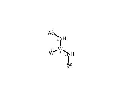 CC(=O)[NH][W]([W])[NH]C(C)=O